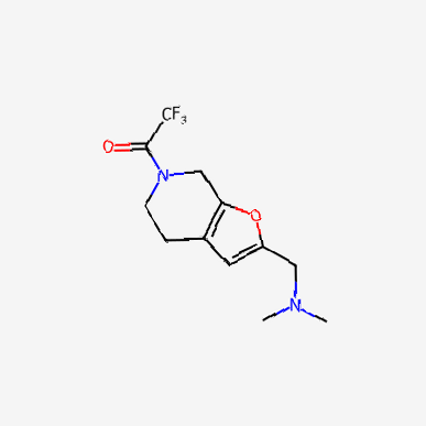 CN(C)Cc1cc2c(o1)CN(C(=O)C(F)(F)F)CC2